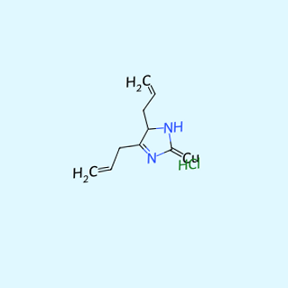 C=CCC1=N[C](=[Cu])NC1CC=C.Cl